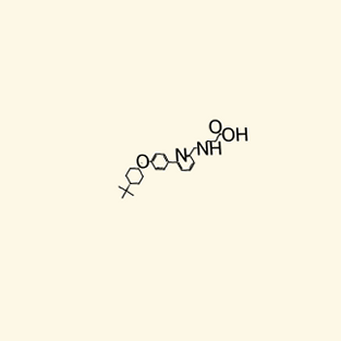 CC(C)(C)[C@H]1CC[C@H](Oc2ccc(-c3cccc(CNCCC(=O)O)n3)cc2)CC1